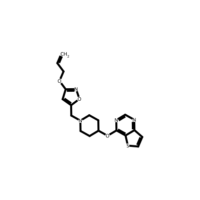 C=CCOc1cc(CN2CCC(Oc3ncnc4ccsc34)CC2)on1